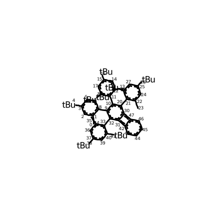 Cc1cc(C(C)(C)C)cc(C(C)(C)C)c1-c1c(-c2c(C)cc(C(C)(C)C)cc2C(C)(C)C)c(-c2c(C)cc(C(C)(C)C)cc2C(C)(C)C)c2c(c1-c1c(C)cc(C(C)(C)C)cc1C(C)(C)C)=c1ccccc1=2